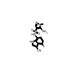 Cn1ncc(S(=O)(=O)Nc2ccc(F)c3c(C#N)c[nH]c23)c1N